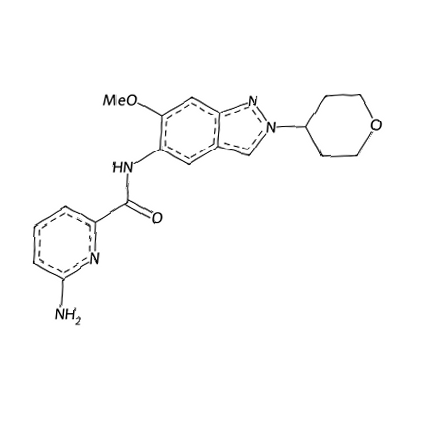 COc1cc2nn(C3CCOCC3)cc2cc1NC(=O)c1cccc(N)n1